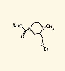 CCOCC1CN(C(=O)OCC(C)C)CCN1C